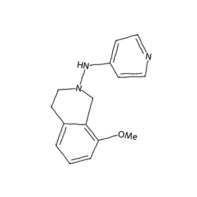 COc1cccc2c1CN(Nc1ccncc1)CC2